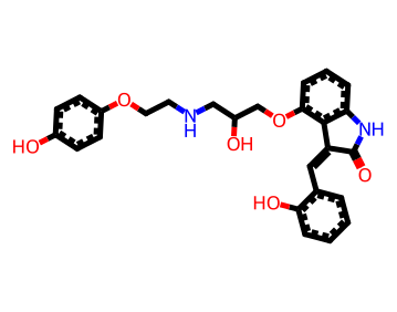 O=C1Nc2cccc(OCC(O)CNCCOc3ccc(O)cc3)c2C1=Cc1ccccc1O